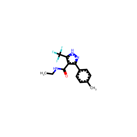 CCNC(=O)c1c(-c2ccc(C)cc2)n[nH]c1C(F)(F)F